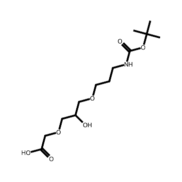 CC(C)(C)OC(=O)NCCCOCC(O)COCC(=O)O